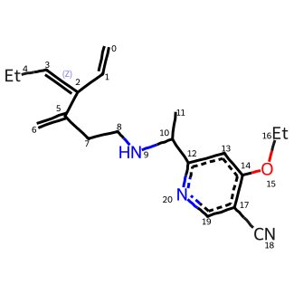 C=C/C(=C/CC)C(=C)CCNC(C)c1cc(OCC)c(C#N)cn1